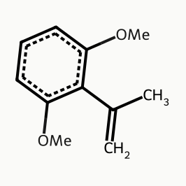 C=C(C)c1c(OC)cccc1OC